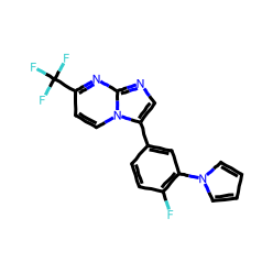 Fc1ccc(-c2cnc3nc(C(F)(F)F)ccn23)cc1-n1cccc1